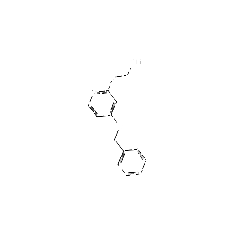 CCOc1cc(OCc2ccccc2)ccn1